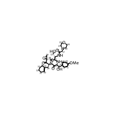 COc1ccc([C@@H](O)[C@H](NC(=O)[C@H](CO)NC(=O)CN2CCOCC2)C(=O)N[C@@H](CC2=CCCCC2)C(=O)[C@]2(C)CO2)cc1